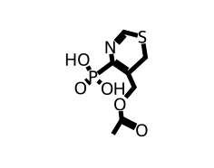 CC(=O)OCC1=C(P(=O)(O)O)N=CSC1